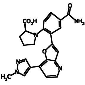 Cn1cc(-c2ccnc3cc(-c4cc(C(N)=O)ccc4N4CCC[C@H]4C(=O)O)oc23)cn1